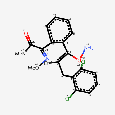 CCC(Cc1c(Cl)cccc1Cl)=C(ON)c1ccccc1C(=NOC)C(=O)NC